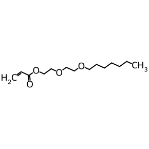 C=CC(=O)OCCOCCOCCCCCCC